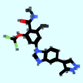 COc1cc(-n2cnc3cc(-c4c[nH]nc4C)ccc32)cc(OC(F)F)c1C(=O)NC(C)(C)C